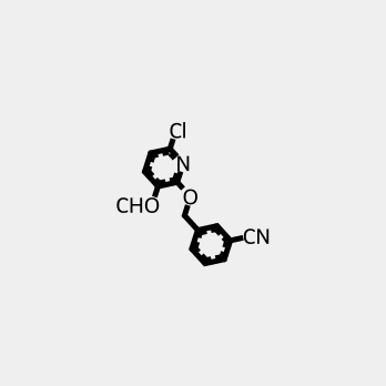 N#Cc1cccc(COc2nc(Cl)ccc2C=O)c1